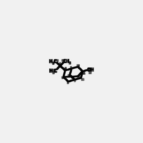 CC(C)(C)C1C2CC3CC1CC(O)(C3)C2